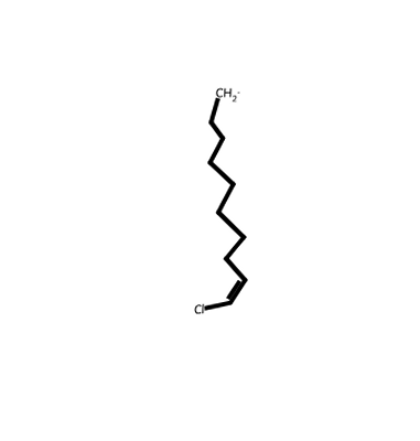 [CH2]CCCCCCC/C=C\Cl